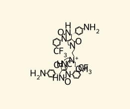 C[N+](CCO)(CCCN1CC2=C(C1=O)[C@@H](c1ccc(N)cc1)NC(=O)N2c1cccc(C(F)(F)F)c1)CCN1CC2=C(C1=O)[C@@H](c1ccc(N)cc1)NC(=O)N2c1cccc(C(F)(F)F)c1